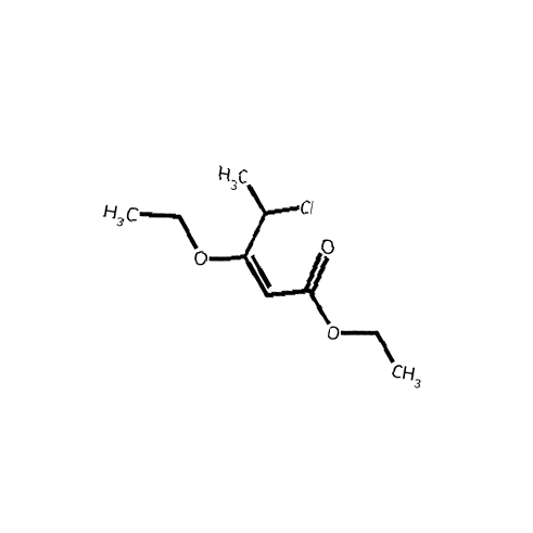 CCOC(=O)/C=C(/OCC)C(C)Cl